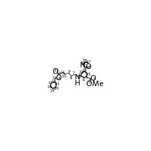 COC(=O)c1cc(NCCCC=CC(=O)OCc2ccccc2)cc(-c2ncco2)c1